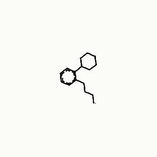 [CH2]CCCc1ccccc1C1CCCCC1